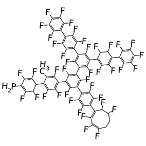 Cc1c(F)c(-c2c(F)c(-c3c(F)c(F)c(/C4=C(F)/C(F)=C(/F)CCC(F)C4F)c(F)c3F)c(F)c(-c3c(F)c(C4=C(F)C(F)=C(c5c(F)c(F)c(F)c(F)c5F)C(F)C4F)c(F)c(-c4c(F)c(F)c(-c5c(F)c(F)c(F)c(F)c5F)c(F)c4F)c3F)c2F)c(F)c(F)c1C1C(F)=C(F)C(P)=C(F)C1F